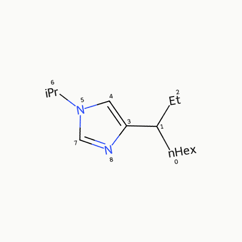 CCCCCCC(CC)c1cn(C(C)C)cn1